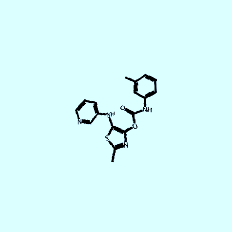 Cc1cccc(NC(=O)Oc2nc(C)sc2Nc2cccnc2)c1